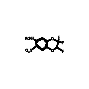 CC(=O)Nc1cc2c(cc1[N+](=O)[O-])OC(F)C(F)(F)O2